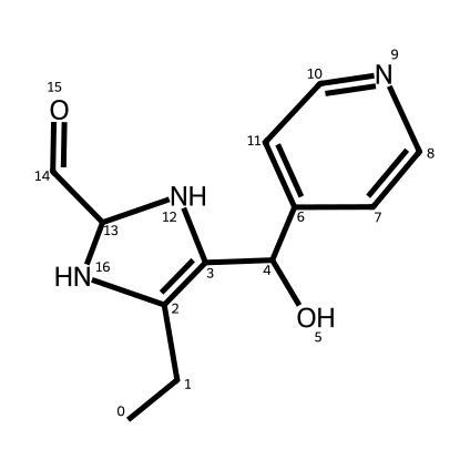 CCC1=C(C(O)c2ccncc2)NC(C=O)N1